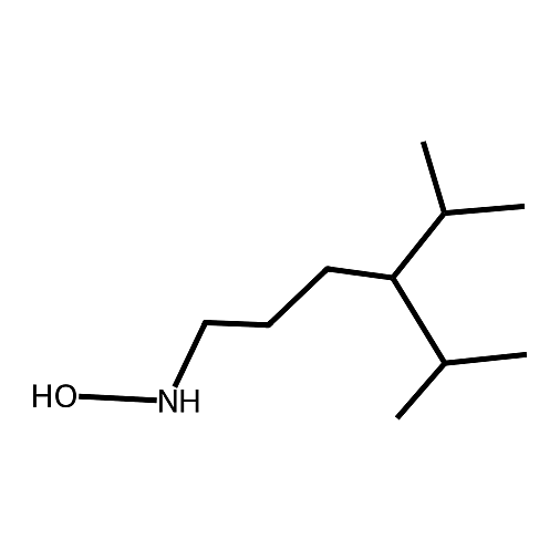 CC(C)C(CCCNO)C(C)C